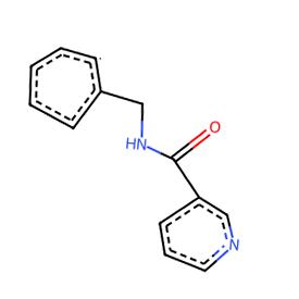 O=C(NCc1[c]cccc1)c1cccnc1